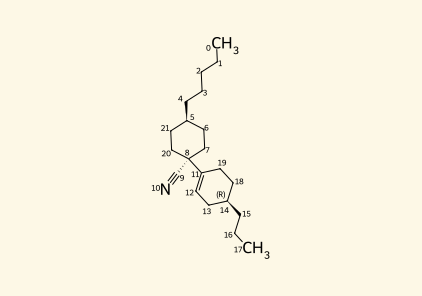 CCCCC[C@H]1CC[C@@](C#N)(C2=CC[C@H](CCC)CC2)CC1